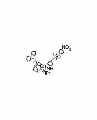 CC(C)[C@H](NC(=O)[C@@H]1CCCN1C(=O)OCC1c2ccccc2-c2ccccc21)C(=O)Nc1ccc(COC(=O)Oc2ccc([N+](=O)[O-])cc2)cc1